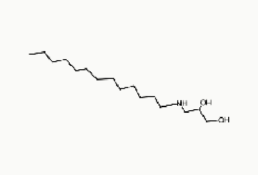 CCCCCCCCCCCCCNCC(O)CO